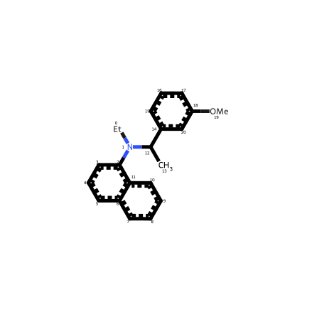 CCN(c1cccc2ccccc12)C(C)c1cccc(OC)c1